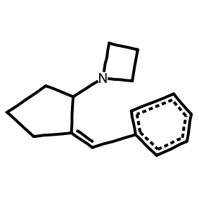 C(=C1CCCC1N1CCC1)c1ccccc1